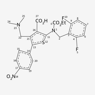 CCOC(=O)N(Cc1c(F)cccc1F)c1sc(-c2ccc([N+](=O)[O-])cc2)c(CN(C)C)c1C(=O)O